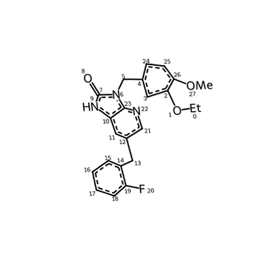 CCOc1cc(Cn2c(=O)[nH]c3cc(Cc4ccccc4F)cnc32)ccc1OC